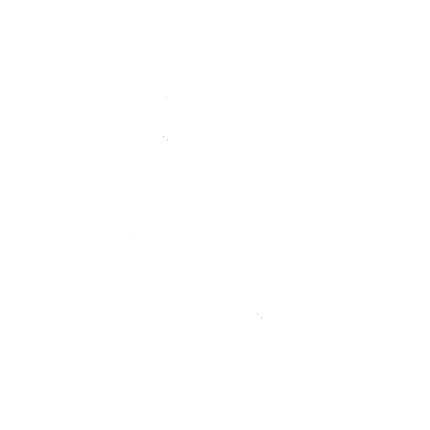 Cc1ccccc1N(c1ccc2cc3c(cc2c1)oc1ccc2oc4cc5cc(N(c6ccccc6C)c6ccc(-c7ccccc7)cc6C)ccc5cc4c2c13)c1ccc(-c2ccccc2)cc1C